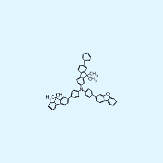 CC1(C)c2ccccc2-c2ccc(-c3ccc(N(c4ccc(-c5ccc6c(c5)oc5ccccc56)cc4)c4ccc5c(c4)C(C)(C)c4cc(-c6ccccc6)ccc4-5)cc3)cc21